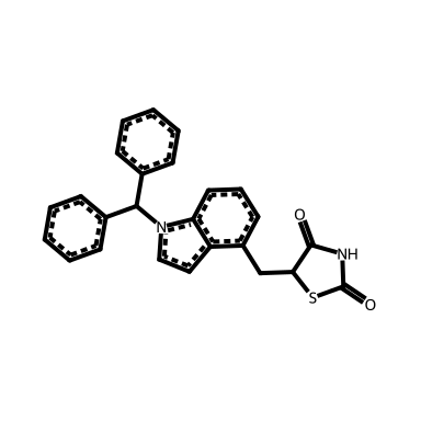 O=C1NC(=O)C(Cc2cccc3c2ccn3C(c2ccccc2)c2ccccc2)S1